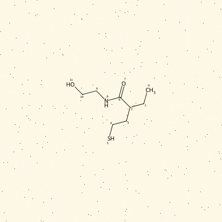 CCC(CCS)C(=O)NCCO